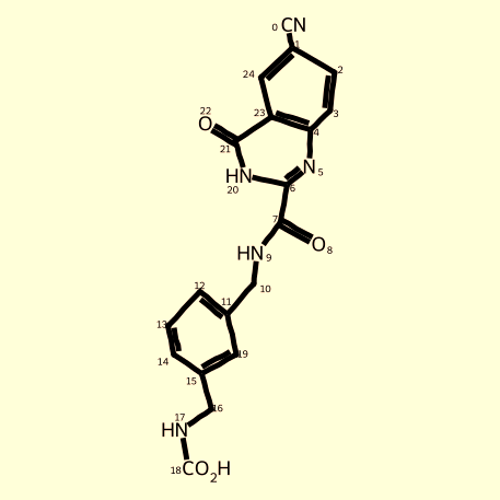 N#Cc1ccc2nc(C(=O)NCc3cccc(CNC(=O)O)c3)[nH]c(=O)c2c1